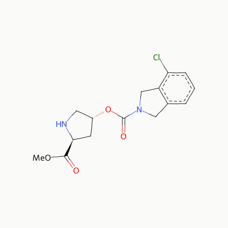 COC(=O)[C@@H]1C[C@@H](OC(=O)N2Cc3cccc(Cl)c3C2)CN1